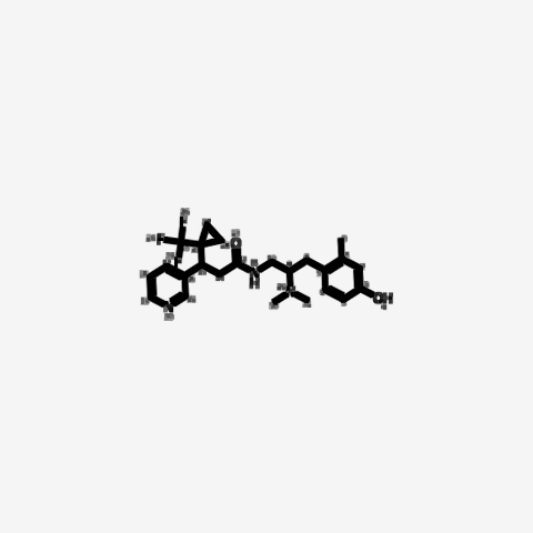 Cc1cc(O)ccc1CC(CNC(=O)CC(c1cccnc1)C1(C(F)(F)F)CC1)N(C)C